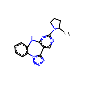 CC1CCCN1c1ncc2c(n1)Nc1ccccc1-n1nnnc1-2